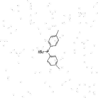 Cc1ccc(P(c2ccc(C)cc2)C(C)(C)C)cc1